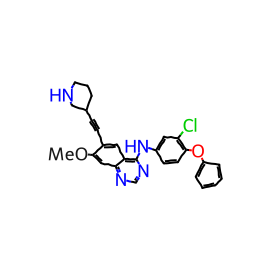 COc1cc2ncnc(Nc3ccc(Oc4ccccc4)c(Cl)c3)c2cc1C#CC1CCCNC1